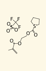 C=C(C)C(=O)OCCOC(=O)[S+]1CCCC1.O=S(=O)([O-])C(F)(F)F